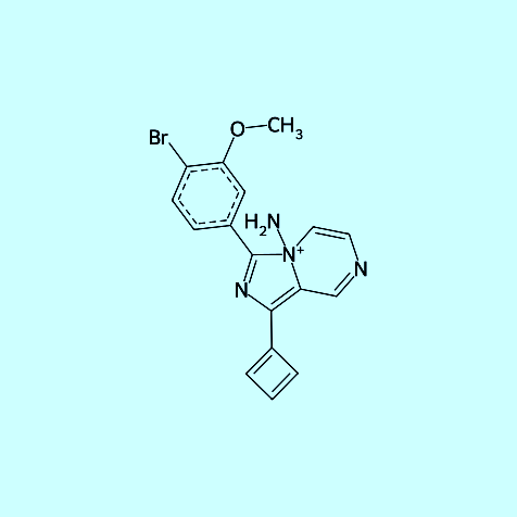 COc1cc(C2=NC(C3=CC=C3)=C3C=NC=C[N+]23N)ccc1Br